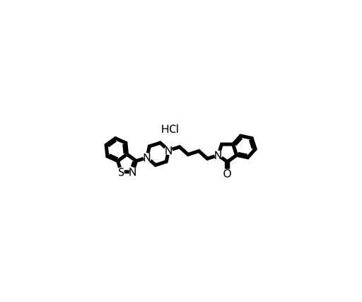 Cl.O=C1c2ccccc2CN1CCCCN1CCN(c2nsc3ccccc23)CC1